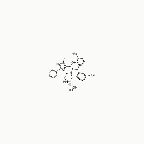 Cc1[nH]c(-c2ccccc2)nc1C(O)C(C(c1cccc(C(C)(C)C)c1)c1cccc(C(C)(C)C)c1)N1CCNCC1.Cl.Cl.Cl